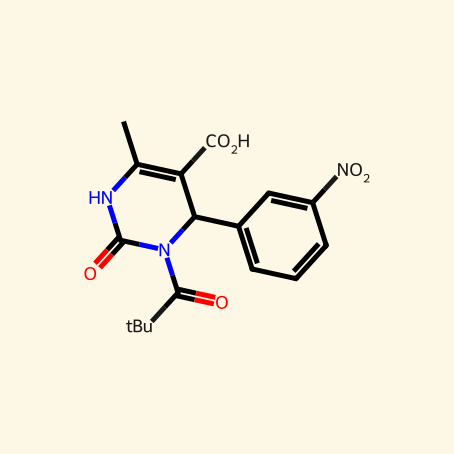 CC1=C(C(=O)O)C(c2cccc([N+](=O)[O-])c2)N(C(=O)C(C)(C)C)C(=O)N1